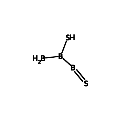 BB(S)B=S